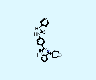 N=C(/N=C(\c1ccc[nH]1)N1CCOCC1)c1ccc(NC(=S)Nc2ccncc2)cc1